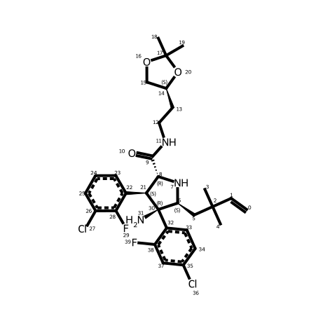 C=CC(C)(C)C[C@@H]1N[C@@H](C(=O)NCC[C@H]2COC(C)(C)O2)[C@H](c2cccc(Cl)c2F)[C@@]1(N)c1ccc(Cl)cc1F